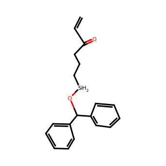 C=CC(=O)CCC[SiH2]OC(c1ccccc1)c1ccccc1